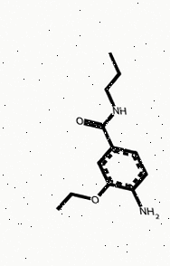 CCCNC(=O)c1ccc(N)c(OCC)c1